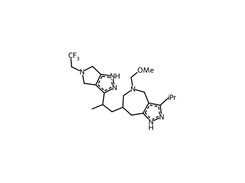 COCN1Cc2c(C(C)C)n[nH]c2CC(CC(C)c2n[nH]c3c2CN(CC(F)(F)F)C3)C1